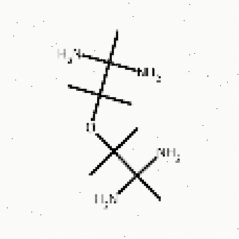 CC(N)(N)C(C)(C)OC(C)(C)C(C)(N)N